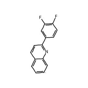 Fc1ccc(-c2ccc3cc[c]cc3n2)cc1F